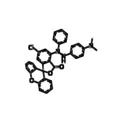 CN(C)c1ccc(NN(c2ccccc2)c2cc(Cl)cc3c2C(=O)OC32c3ccccc3Oc3ccccc32)cc1